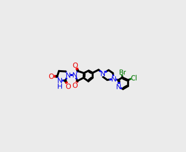 O=C1CCN(N2C(=O)c3ccc(CN4CCN(c5nccc(Cl)c5Br)CC4)cc3C2=O)C(=O)N1